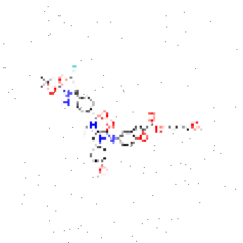 COCCCCOC(=O)c1cc2cc(NC(=O)[C@@H]3[C@H]([C@H]4CC[C@H](OC)CC4)CCN3C(=O)[C@H]3CC[C@H]([C@@H](CCF)NC(=O)OC(C)(C)C)CC3)ccc2o1